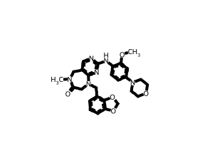 COc1cc(N2CCOCC2)ccc1Nc1ncc2c(n1)N(Cc1cccc3c1OCO3)CC(=O)N(C)C2